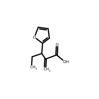 C=C(C(=O)O)C(CC)c1ccco1